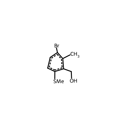 CSc1ccc(Br)c(C)c1CO